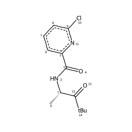 C[C@H](NC(=O)c1cccc(Cl)n1)C(=O)C(C)(C)C